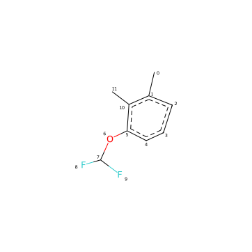 Cc1cccc(OC(F)F)c1C